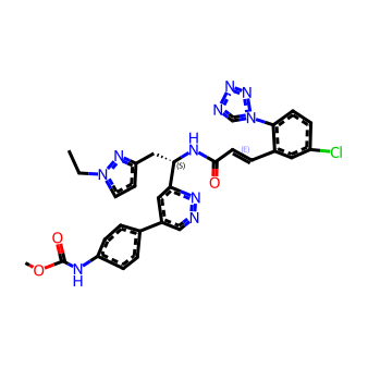 CCn1ccc(C[C@H](NC(=O)/C=C/c2cc(Cl)ccc2-n2cnnn2)c2cc(-c3ccc(NC(=O)OC)cc3)cnn2)n1